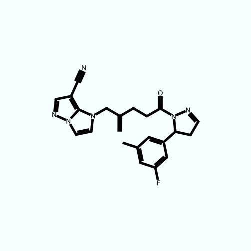 C=C(CCC(=O)N1N=CCC1c1cc(C)cc(F)c1)Cn1ccn2ncc(C#N)c12